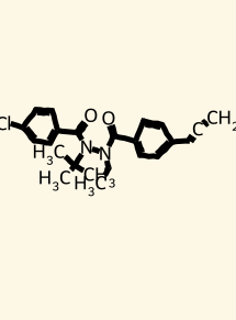 C=C=Cc1ccc(C(=O)N(CC)N(C(=O)c2ccc(Cl)cc2)C(C)(C)C)cc1